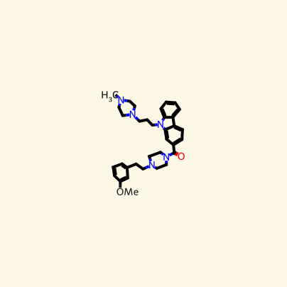 COc1cccc(CCN2CCN(C(=O)c3ccc4c5ccccc5n(CCCN5CCN(C)CC5)c4c3)CC2)c1